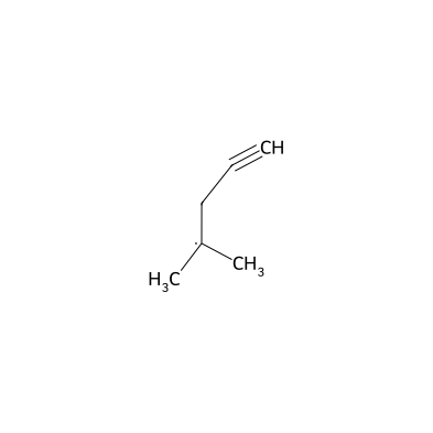 C#CC[C](C)C